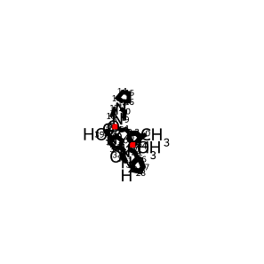 Cc1cc(CC(C(=O)N2CCN(C3CCCC3)CC2)[C@H]2CC(N3CCc4ccccc4NC3=O)CCN2C(=O)O)cc(C)c1O